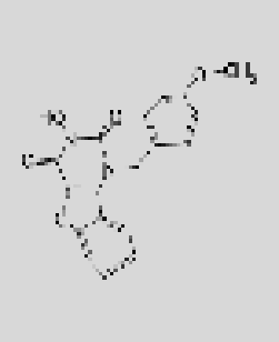 COc1ccc(Cn2c(=O)n(O)c(=O)c3oc4ccccc4c32)cc1